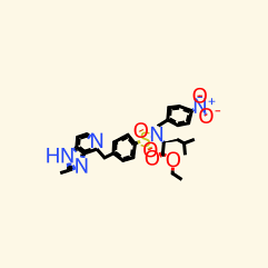 CCOC(=O)[C@H](CC(C)C)N(Cc1ccc([N+](=O)[O-])cc1)S(=O)(=O)c1ccc(Cc2nccc3[nH]c(C)nc23)cc1